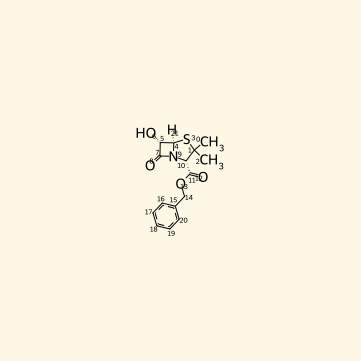 CC1(C)S[C@@H]2[C@@H](O)C(=O)N2[C@H]1C(=O)OCc1ccccc1